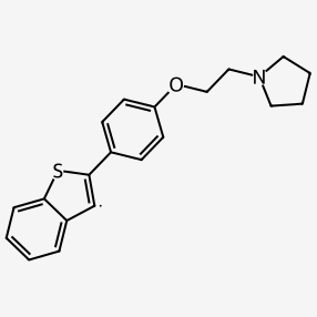 [c]1c(-c2ccc(OCCN3CCCC3)cc2)sc2ccccc12